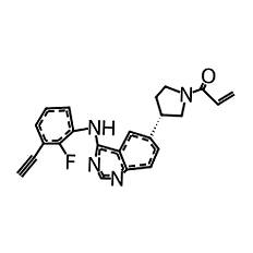 C#Cc1cccc(Nc2ncnc3ccc([C@@H]4CCN(C(=O)C=C)C4)cc23)c1F